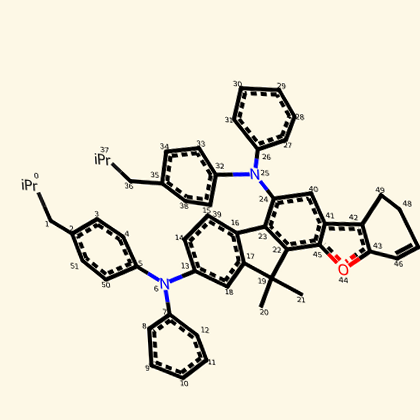 CC(C)Cc1ccc(N(c2ccccc2)c2ccc3c(c2)C(C)(C)c2c-3c(N(c3ccccc3)c3ccc(CC(C)C)cc3)cc3c4c(oc23)C=CCC4)cc1